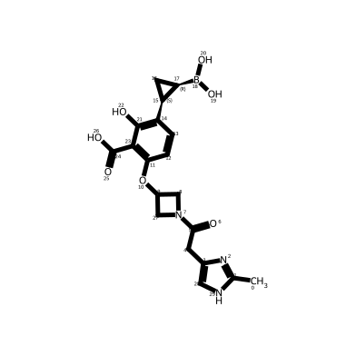 Cc1nc(CC(=O)N2CC(Oc3ccc([C@H]4C[C@H]4B(O)O)c(O)c3C(=O)O)C2)c[nH]1